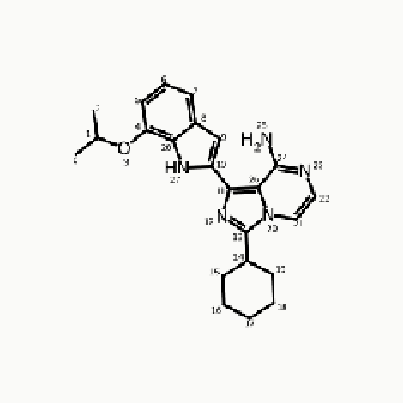 CC(C)Oc1cccc2cc(-c3nc(C4CCCCC4)n4ccnc(N)c34)[nH]c12